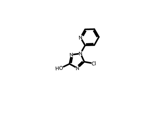 Oc1nc(Cl)n(-c2ccccn2)n1